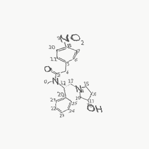 CN(C(=O)Cc1ccc([N+](=O)[O-])cc1)[C@H](CN1CCC(O)C1)c1ccccc1